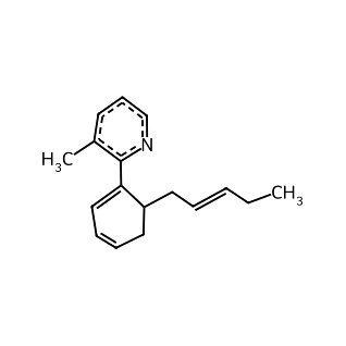 CCC=CCC1CC=CC=C1c1ncccc1C